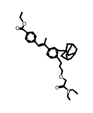 CCOC(=O)c1ccc(C=C(C)c2ccc(CCCOCC(=O)N(CC)CC)c(C34CC5CC(CC(C5)C3)C4)c2)cc1